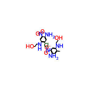 Cc1cc(N)c([N+](=O)[O-])cc1NCCO.Nc1cc(Cl)c(NCCO)cc1[N+](=O)[O-]